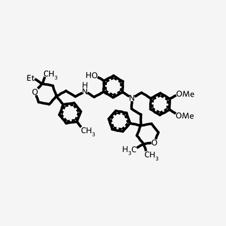 CCC1(C)CC(CCNCc2cc(N(CCC3(c4ccccc4)CCOC(C)(C)C3)Cc3ccc(OC)c(OC)c3)ccc2O)(c2ccc(C)cc2)CCO1